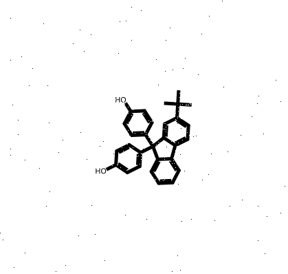 CC(C)(C)c1ccc2c(c1)C(c1ccc(O)cc1)(c1ccc(O)cc1)c1ccccc1-2